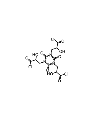 O=C(Cl)C(O)Cn1c(=O)n(CC(O)C(=O)Cl)c(=O)n(CC(O)C(=O)Cl)c1=O